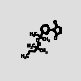 CCCC(C)(C)OOC(C)(C)c1cccc(N2C(=O)C=CC2=O)c1